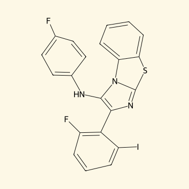 Fc1ccc(Nc2c(-c3c(F)cccc3I)nc3sc4ccccc4n23)cc1